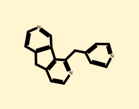 c1cc(Cc2nccc3c2-c2cnccc2C3)ccn1